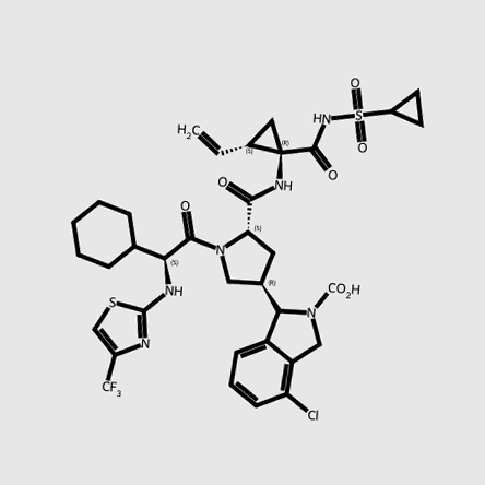 C=C[C@@H]1C[C@]1(NC(=O)[C@@H]1C[C@@H](C2c3cccc(Cl)c3CN2C(=O)O)CN1C(=O)[C@@H](Nc1nc(C(F)(F)F)cs1)C1CCCCC1)C(=O)NS(=O)(=O)C1CC1